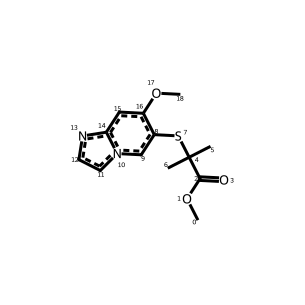 COC(=O)C(C)(C)Sc1cn2ccnc2cc1OC